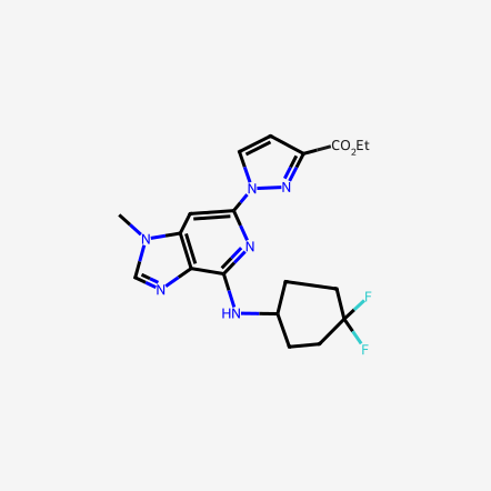 CCOC(=O)c1ccn(-c2cc3c(ncn3C)c(NC3CCC(F)(F)CC3)n2)n1